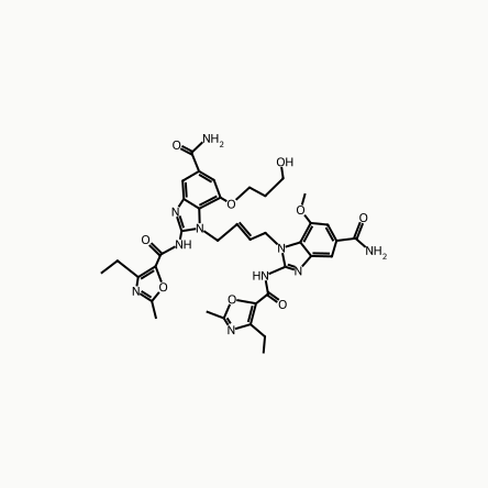 CCc1nc(C)oc1C(=O)Nc1nc2cc(C(N)=O)cc(OC)c2n1CC=CCn1c(NC(=O)c2oc(C)nc2CC)nc2cc(C(N)=O)cc(OCCCO)c21